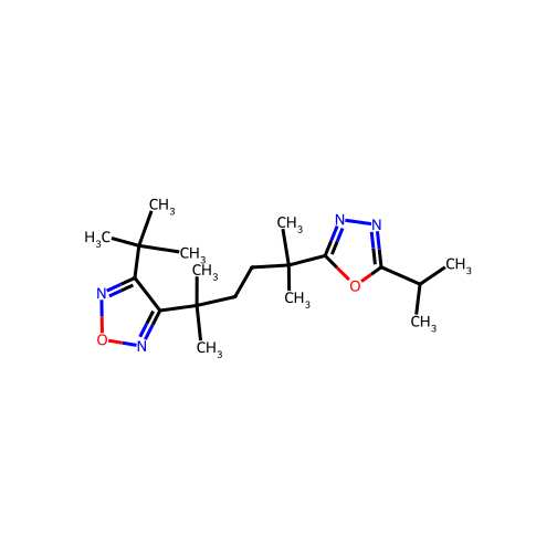 CC(C)c1nnc(C(C)(C)CCC(C)(C)c2nonc2C(C)(C)C)o1